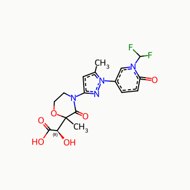 Cc1cc(N2CCOC(C)([C@@H](O)C(=O)O)C2=O)nn1-c1ccc(=O)n(C(F)F)c1